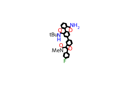 CNC(=O)c1c(-c2ccc(F)cc2)oc2ccc(-c3ccc(-c4ccccc4C(N)=O)c(C(=O)NC(C)(C)C)c3)cc12